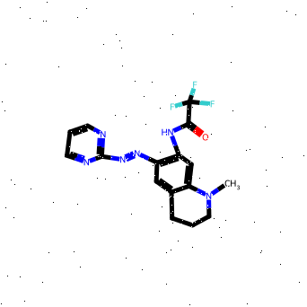 CN1CCCc2cc(N=Nc3ncccn3)c(NC(=O)C(F)(F)F)cc21